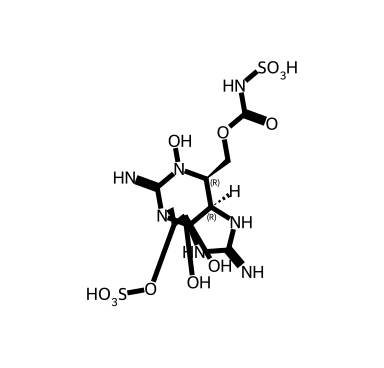 N=C1N[C@@H]2[C@H](COC(=O)NS(=O)(=O)O)N(O)C(=N)N3CC(OS(=O)(=O)O)C(O)(O)C23N1